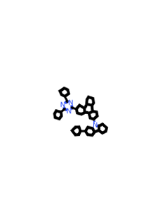 c1ccc(-c2ccc3c4ccccc4n(-c4ccc5c6ccccc6c6cc(-c7nc(-c8ccccc8)nc(-c8ccccc8)n7)ccc6c5c4)c3c2)cc1